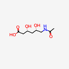 CC(=O)NC[C@@H](O)C[C@@H](O)CC(=O)O